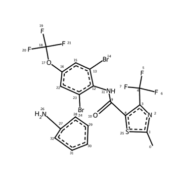 Cc1nc(C(F)(F)F)c(C(=O)Nc2c(Br)cc(OC(F)(F)F)cc2Br)s1.Nc1ccccc1